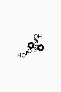 OCCOc1ccccc1Sc1ccccc1OCCO